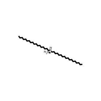 CCCCCCCCCCCCCCCCCCNCCCCCCCCCCCCCCCCCC.CN